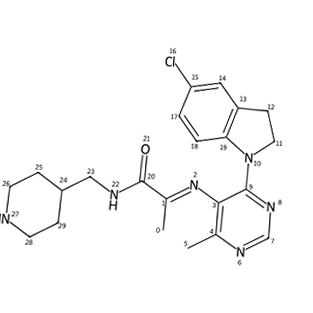 C/C(=N\c1c(C)ncnc1N1CCc2cc(Cl)ccc21)C(=O)NCC1CCNCC1